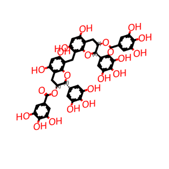 O=C(O[C@@H]1Cc2c(O)cc(O)c(Cc3c(O)cc(O)c4c3O[C@H](c3cc(O)c(O)c(O)c3)[C@H](OC(=O)c3cc(O)c(O)c(O)c3)C4)c2O[C@@H]1c1cc(O)c(O)c(O)c1)c1cc(O)c(O)c(O)c1